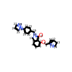 O=C1c2c(cccc2OCC2CC3CCN2C3)CN1Cc1ccc(-n2cccn2)cc1